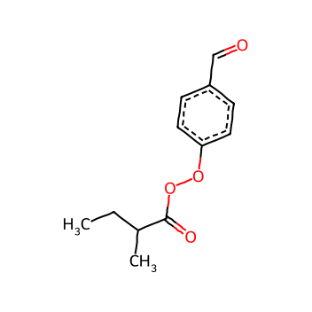 CCC(C)C(=O)OOc1ccc(C=O)cc1